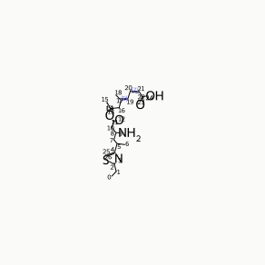 CCc1nc(C(C)CC(N)CC(=O)O[C@@H](C)C/C(C)=C/C=C\C(=O)O)cs1